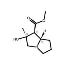 COC(=O)[C@H]1[C@@H]2CCCN2C[C@@]1(C)O